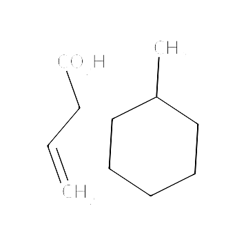 C=CCC(=O)O.CC1CCCCC1